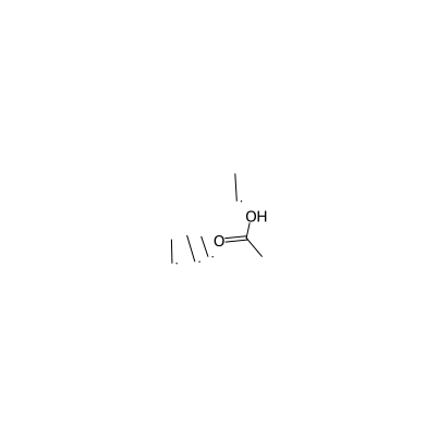 CC(=O)O.[CH2]C.[CH2]C.[CH2]C.[CH2]C